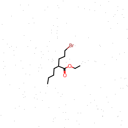 CCCCC(CCCBr)C(=O)OCC